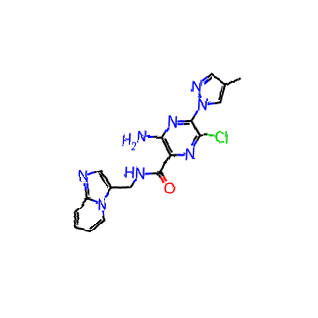 Cc1cnn(-c2nc(N)c(C(=O)NCc3cnc4ccccn34)nc2Cl)c1